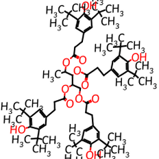 CC(OC(=O)CCc1cc(C(C)(C)C)c(O)c(C(C)(C)C)c1)C(OC(=O)CCc1cc(C(C)(C)C)c(O)c(C(C)(C)C)c1)C(COC(=O)CCc1cc(C(C)(C)C)c(O)c(C(C)(C)C)c1)OC(=O)CCc1cc(C(C)(C)C)c(O)c(C(C)(C)C)c1